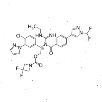 CCNC(=N)N(C(=O)c1ccc(-c2cnn(C(F)F)c2)cc1)[C@H](COC(=O)N1CC(F)(F)C1)c1ccc(Cl)c(-n2cccn2)c1